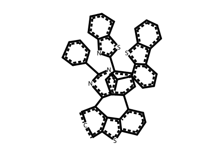 c1ccc(-c2nc(-c3cccc4c3sc3ccccc34)nc(-c3cccc4sc5cccc(-c6ccc(-c7nc8ccccc8s7)cc6)c5c34)n2)cc1